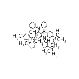 Cc1cc(C)c2c(c1)C1(C)CCCCC1(C)N2c1cc2c3c(c1)N(c1cccc(C(C)(C)C)c1)c1cc(C(C)(C)C)ccc1B3c1ccccc1N2c1ccccc1